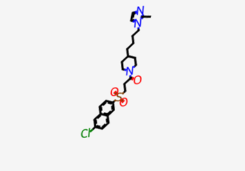 Cc1nccn1CCCCC1CCN(C(=O)CCS(=O)(=O)c2ccc3cc(Cl)ccc3c2)CC1